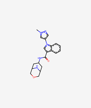 Cn1cc(-n2cc(C(=O)NC3CC4COCC(C3)N4)c3ccccc32)cn1